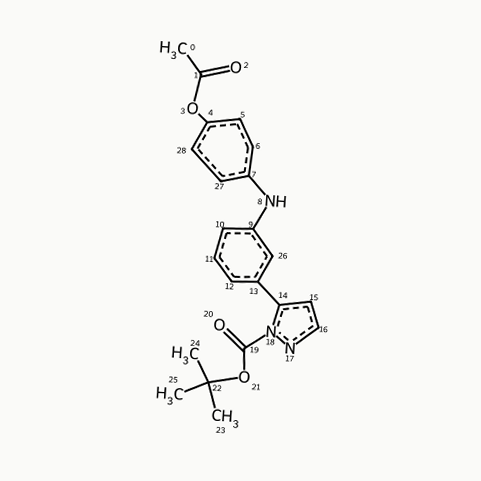 CC(=O)Oc1ccc(Nc2cccc(-c3ccnn3C(=O)OC(C)(C)C)c2)cc1